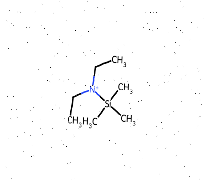 CC[N+](CC)[Si](C)(C)C